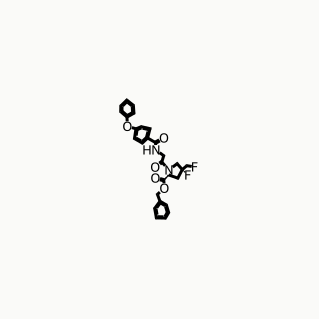 O=C(NCC(=O)N1C[C@@](F)(CF)C[C@H]1C(=O)OCc1ccccc1)c1ccc(Oc2ccccc2)cc1